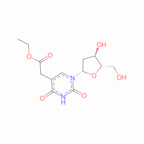 CCOC(=O)Cc1cn([C@@H]2C[C@@H](O)[C@H](CO)O2)c(=O)[nH]c1=O